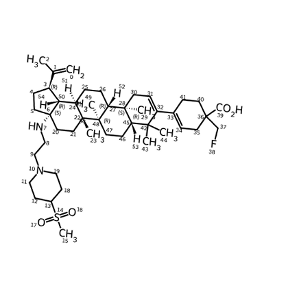 C=C(C)[C@@H]1CC[C@]2(NCCN3CCC(S(C)(=O)=O)CC3)CC[C@]3(C)[C@H](CC[C@@H]4[C@@]5(C)CC=C(C6=CCC(CF)(C(=O)O)CC6)C(C)(C)[C@@H]5CC[C@]43C)[C@@H]12